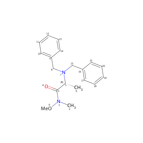 CON(C)C(=O)[C@@H](C)N(Cc1ccccc1)Cc1ccccc1